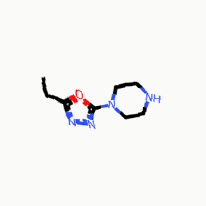 CCc1nnc(N2CCNCC2)o1